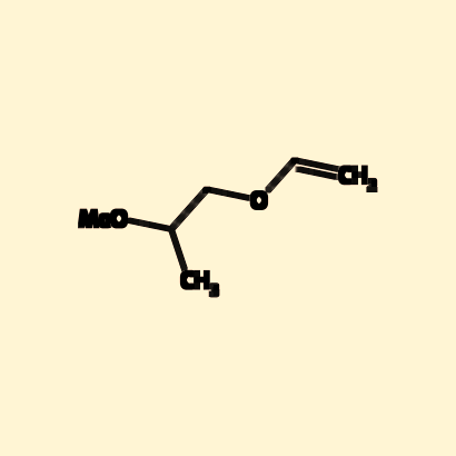 C=COCC(C)OC